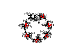 N[C@H]1[C@H](O)[C@H]2O[C@H]3[C@H](O)[C@@H](O)[C@@H](O[C@H]4[C@H](O)[C@@H](O)[C@@H](O[C@H]5[C@H](O)[C@@H](O)[C@@H](O[C@H]6[C@H](O)[C@@H](O)[C@@H](O[C@H]7[C@H](O)[C@@H](O)[C@@H](O[C@H]8[C@H](O)[C@@H](O)[C@@H](O[C@@H]1[C@@H](CO)O2)O[C@@H]8CO)O[C@@H]7CO)O[C@@H]6CO)O[C@@H]5CO)O[C@@H]4CO)O[C@@H]3CO